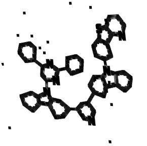 c1ccc(-c2cc(-n3c4ccccc4c4ccc(-c5cncc(-c6ccc7c(c6)c6ccccc6n7-c6ccc7sc8cccnc8c7c6)c5)cc43)nc(-c3ccccc3)n2)cc1